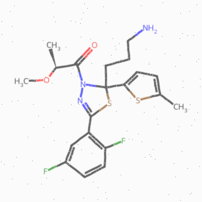 CO[C@@H](C)C(=O)N1N=C(c2cc(F)ccc2F)SC1(CCCN)c1ccc(C)s1